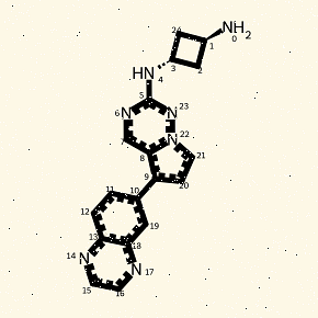 N[C@H]1C[C@H](Nc2ncc3c(-c4ccc5nccnc5c4)ccn3n2)C1